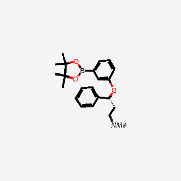 CNCC[C@@H](Oc1cccc(B2OC(C)(C)C(C)(C)O2)c1)c1ccccc1